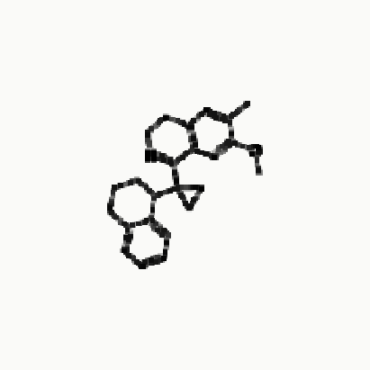 COc1cc2c(cc1C)CCN=C2C1(C2CCCc3ccccc32)CC1